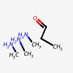 CCC=O.CN.CN.CN